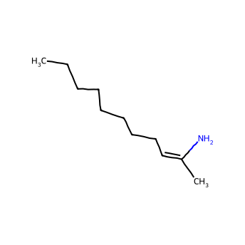 CCCCCCCCC=C(C)N